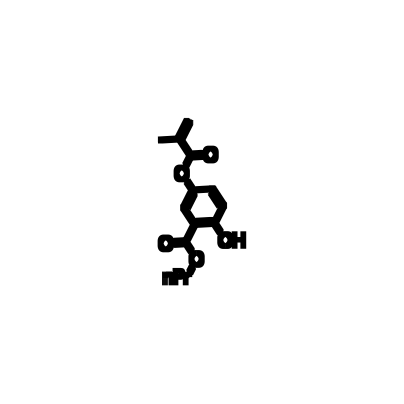 C=C(C)C(=O)Oc1ccc(O)c(C(=O)OCCC)c1